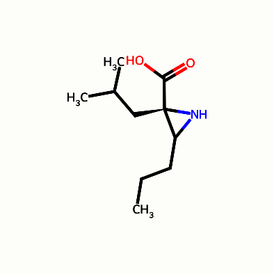 CCCC1N[C@@]1(CC(C)C)C(=O)O